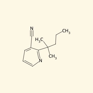 CCCC(C)(C)c1ncccc1C#N